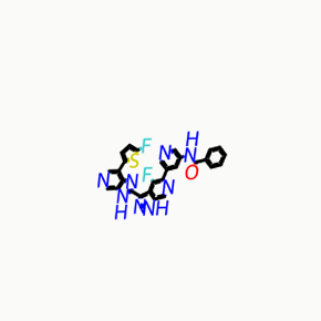 O=C(Nc1cncc(-c2ncc3[nH]nc(-c4nc5c(-c6ccc(F)s6)cncc5[nH]4)c3c2F)c1)c1ccccc1